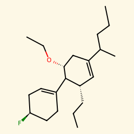 CCCC(C)C1=C[C@H](CCC)C(C2=CC[C@H](F)CC2)[C@H](OCC)C1